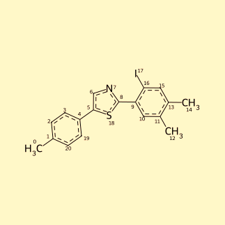 Cc1ccc(-c2cnc(-c3cc(C)c(C)cc3I)s2)cc1